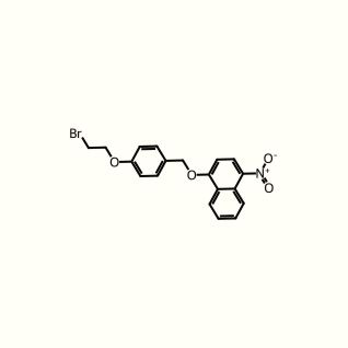 O=[N+]([O-])c1ccc(OCc2ccc(OCCBr)cc2)c2ccccc12